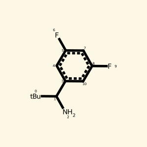 CC(C)(C)C(N)c1cc(F)cc(F)c1